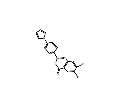 O=c1oc(-c2ccc(-n3ccnc3)nn2)nc2cc(Cl)c(Cl)cc12